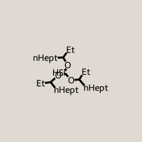 CCCCCCCC(CC)O[SiH](OC(CC)CCCCCCC)OC(CC)CCCCCCC